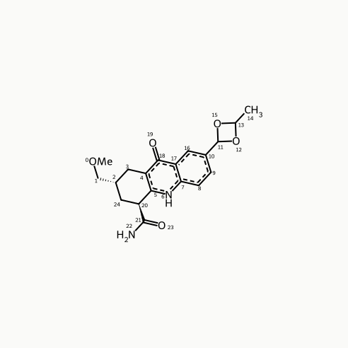 COC[C@@H]1Cc2c([nH]c3ccc(C4OC(C)O4)cc3c2=O)[C@@H](C(N)=O)C1